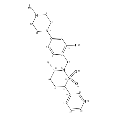 CC(=O)N1CCN(c2ccc(CN3[C@@H](C)CCC(c4cccnc4)S3(=O)=O)c(F)c2)CC1